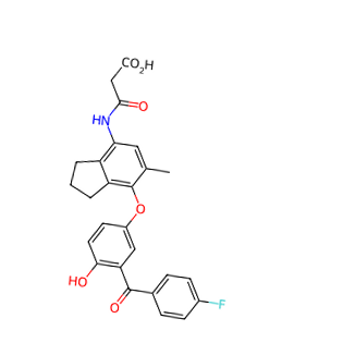 Cc1cc(NC(=O)CC(=O)O)c2c(c1Oc1ccc(O)c(C(=O)c3ccc(F)cc3)c1)CCC2